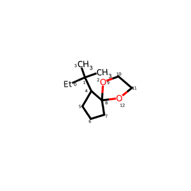 CCC(C)(C)C1CCCC12OCCO2